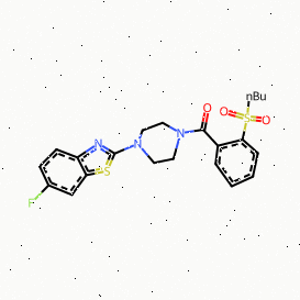 CCCCS(=O)(=O)c1ccccc1C(=O)N1CCN(c2nc3ccc(F)cc3s2)CC1